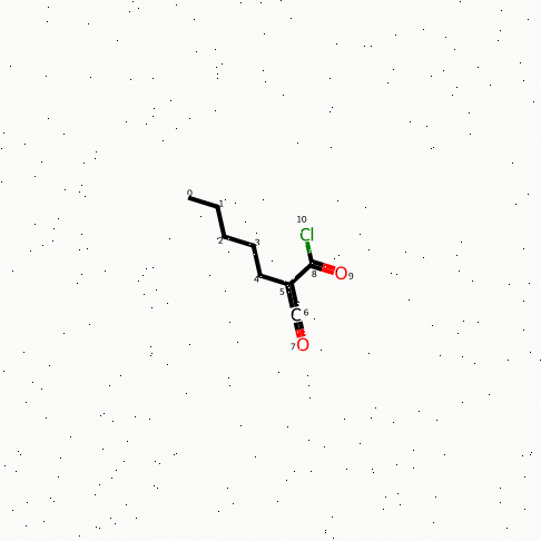 CCCCCC(=C=O)C(=O)Cl